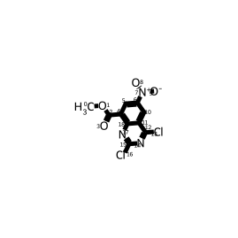 COC(=O)c1cc([N+](=O)[O-])cc2c(Cl)nc(Cl)nc12